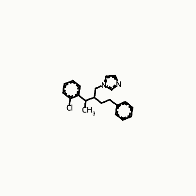 CC(c1ccccc1Cl)C(CCc1ccccc1)Cn1ccnc1